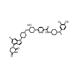 CN(c1ccc(C#N)c(Cl)c1)C1CCC(NC(=O)c2ccc(N3CCC(CN4CCC(n5ccc6c(N7CCC(=O)NC7=O)cc(F)cc65)CC4)CC3)nn2)CC1.Cl